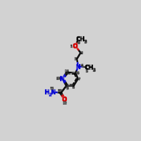 COCCN(C)c1ccc(C(N)=O)nc1